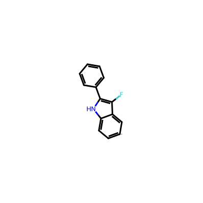 Fc1c(-c2ccccc2)[nH]c2cc[c]cc12